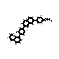 Pc1ccc(-c2ccc3ccc(-c4ccc(-c5cccc6cccnc56)cc4)cc3c2)cc1